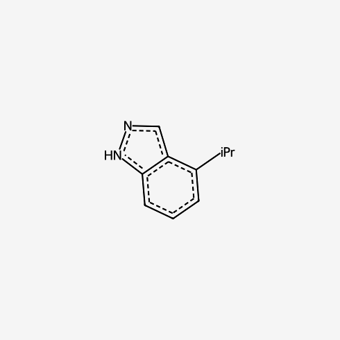 CC(C)c1cccc2[nH]ncc12